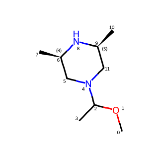 COC(C)N1C[C@@H](C)N[C@@H](C)C1